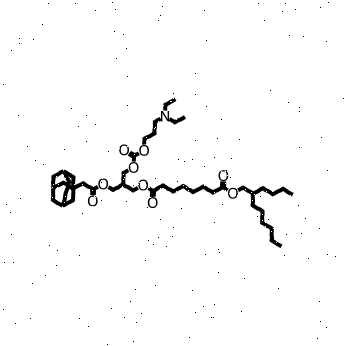 CCCCCCC(CCCC)COC(=O)CCCCCCC(=O)OCC(COC(=O)CC12CC3CC(CC(C3)C1)C2)COC(=O)OCCCN(CC)CC